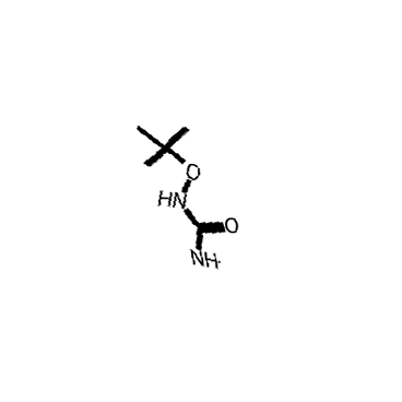 CC(C)(C)ONC([NH])=O